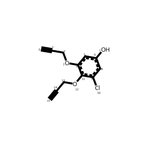 C#CCOc1cc(O)cc(Cl)c1OCC#C